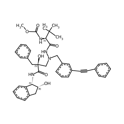 COC(=O)N[C@H](C(=O)NN(Cc1cccc(C#Cc2ccccc2)c1)C[C@@](O)(Cc1ccccc1)C(=O)N[C@H]1c2ccccc2C[C@H]1O)C(C)(C)C